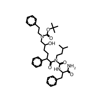 CC(C)CCN(C(=O)NC(Cc1ccccc1)C(N)=O)C(=O)C(CCC(O)CN(CCc1ccccc1)C(=O)OC(C)(C)C)c1ccccc1